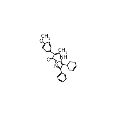 COc1ccc(-c2c(C)[nH]c3c(C4CC=CCC4)c(-c4ccccc4)nn3c2=O)cc1